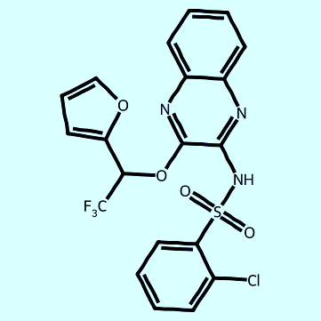 O=S(=O)(Nc1nc2ccccc2nc1OC(c1ccco1)C(F)(F)F)c1ccccc1Cl